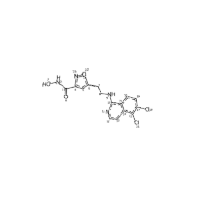 O=C(NO)c1cc(CCNc2nccc3c(Cl)c(Cl)ccc23)on1